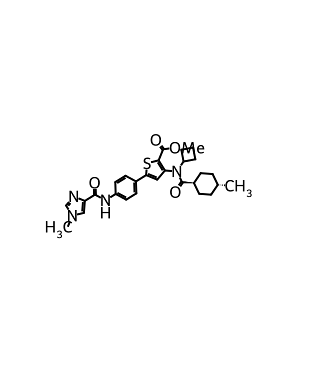 COC(=O)c1sc(-c2ccc(NC(=O)c3cn(C)cn3)cc2)cc1N(C(=O)[C@H]1CC[C@H](C)CC1)C1CCC1